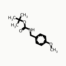 COc1ccc(CNC(=O)OC(C)(C)C)cc1